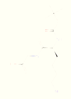 CC(C)(C)OC(=O)N[C@@H](CCCCN)C(=O)NCC(=O)O